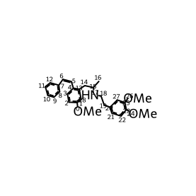 COc1ccc(/C=C\c2ccccc2)c(CC(C)NCCc2ccc(OC)c(OC)c2)c1